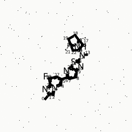 Cc1cn2cc(-c3ccc4nc(N(C)[C@H]5C[C@]6(C)CC[C@](C)(C5)N6)sc4n3)cc(F)c2n1